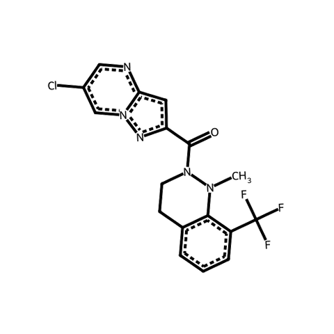 CN1c2c(cccc2C(F)(F)F)CCN1C(=O)c1cc2ncc(Cl)cn2n1